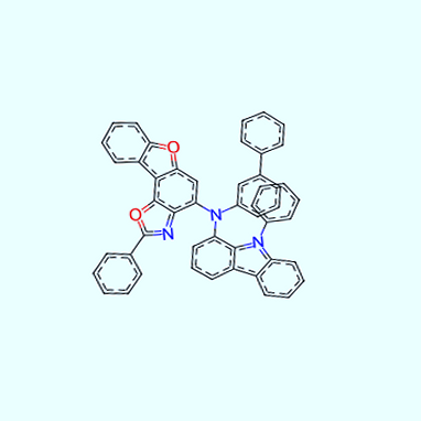 c1ccc(-c2cccc(N(c3cc4oc5ccccc5c4c4oc(-c5ccccc5)nc34)c3cccc4c5ccccc5n(-c5ccccc5)c34)c2)cc1